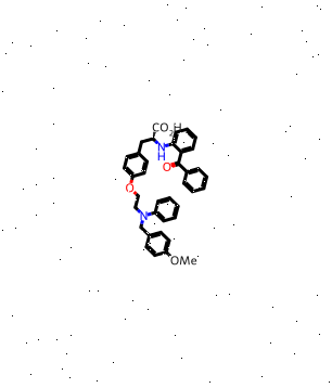 COc1ccc(CN(CCOc2ccc(C[C@H](Nc3ccccc3C(=O)c3ccccc3)C(=O)O)cc2)c2ccccc2)cc1